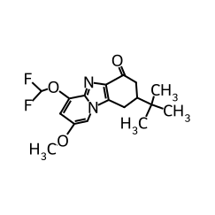 COc1cc(OC(F)F)c2nc3c(n2c1)CC(C(C)(C)C)CC3=O